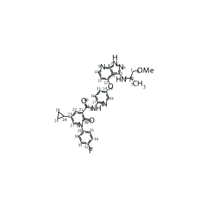 COC[C@@H](C)Nc1n[nH]c2nccc(Oc3ccc(NC(=O)c4cc(C5CC5)cn(-c5ccc(F)cc5)c4=O)nc3)c12